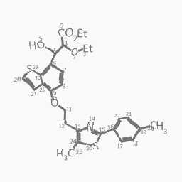 CCOC(=O)C(OCC)C(O)c1ccc(OCCc2nc(-c3ccc(C)cc3)sc2C)c2ccsc12